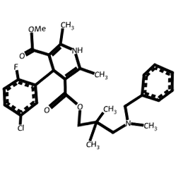 COC(=O)C1=C(C)NC(C)=C(C(=O)OCC(C)(C)CN(C)Cc2ccccc2)C1c1cc(Cl)ccc1F